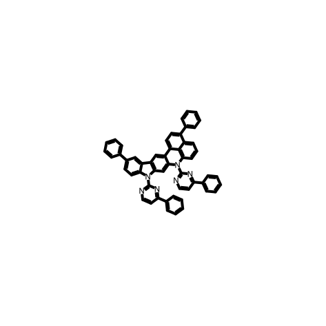 c1ccc(-c2ccc3c(c2)c2cc4c(cc2n3-c2nccc(-c3ccccc3)n2)N(c2nccc(-c3ccccc3)n2)c2cccc3c(-c5ccccc5)ccc-4c23)cc1